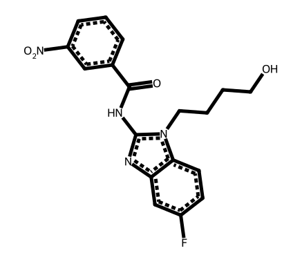 O=C(Nc1nc2cc(F)ccc2n1CCCCO)c1cccc([N+](=O)[O-])c1